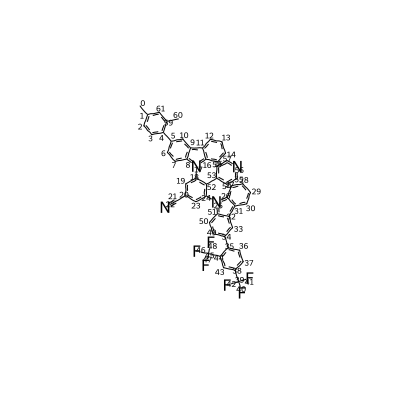 Cc1ccc(-c2ccc3c(c2)c2ccccc2n3-c2cc(C#N)cc(-n3c4ccccc4c4cc(-c5ccc(C(F)(F)F)cc5C(F)(F)F)ccc43)c2-c2ccncc2)c(C)c1